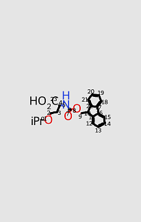 CC(C)OCCC(NC(=O)OCC1c2ccccc2-c2ccccc21)C(=O)O